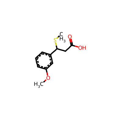 COc1cccc(C(CC(=O)O)SC)c1